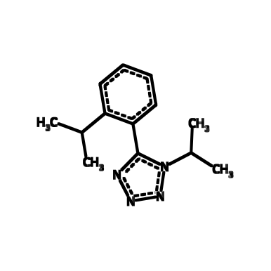 CC(C)c1ccccc1-c1nnnn1C(C)C